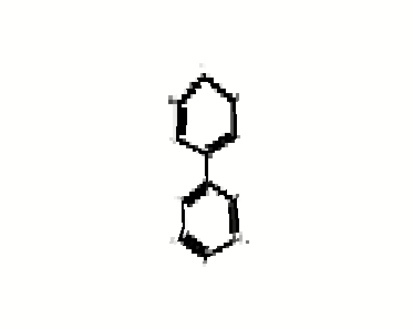 [CH]1C=C(c2cccnc2)C=CC1